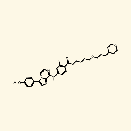 COc1ccc(-c2cnc3c(Nc4ccc(C(=O)CCCCCOCCCC5CCOCC5)c(C)c4)nccn23)cc1